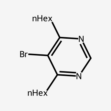 CCCCCCc1ncnc(CCCCCC)c1Br